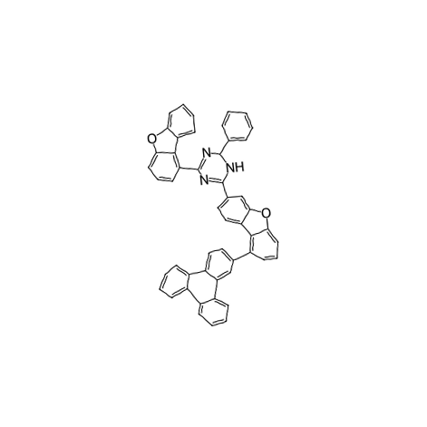 c1ccc(C2N=C(c3cccc4oc5ccccc5c34)N=C(c3ccc4c(c3)oc3cccc(-c5ccc6c7ccccc7c7ccccc7c6c5)c34)N2)cc1